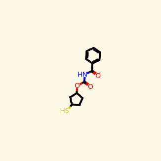 O=C(NC(=O)c1ccccc1)OC1CCC(S)C1